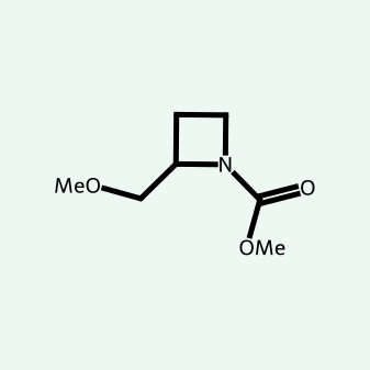 COCC1CCN1C(=O)OC